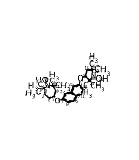 CC1(C)CCC(Oc2ccc3ccc(OC4CC(C)(C)N(O)C4(C)C)cc3c2)CC(C)(C)N1O